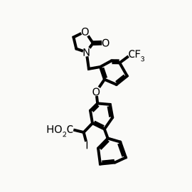 O=C(O)C(I)c1cc(Oc2ccc(C(F)(F)F)cc2CN2CCOC2=O)ccc1-c1ccccc1